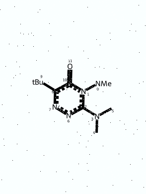 CNn1c(N(C)C)nnc(C(C)(C)C)c1=O